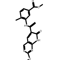 C=C(Nc1cc(C(=O)OC)ccc1C)c1cc2cnc(OC)nc2[nH]c1=O